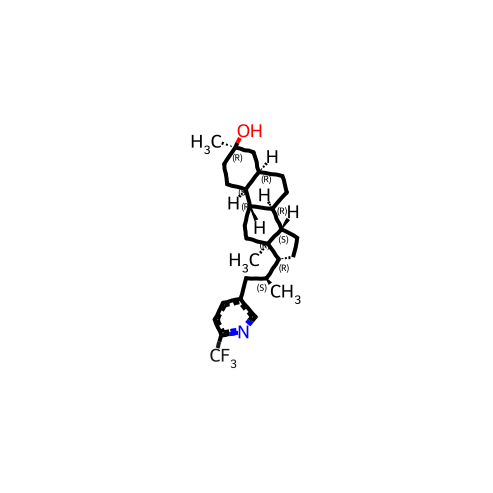 C[C@@H](Cc1ccc(C(F)(F)F)nc1)[C@H]1CC[C@H]2[C@@H]3CC[C@@H]4C[C@](C)(O)CC[C@@H]4[C@H]3CC[C@]12C